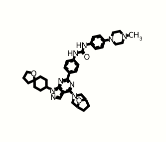 CN1CCN(c2ccc(NC(=O)Nc3ccc(-c4nc(N5CC6CCC(C5)O6)c5cnn(C6CCC7(CCCO7)CC6)c5n4)cc3)cc2)CC1